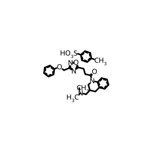 CN(C)CC1Cc2ccccc2N(C(=O)CCc2nc(COc3ccccc3)no2)C1.Cc1ccc(S(=O)(=O)O)cc1